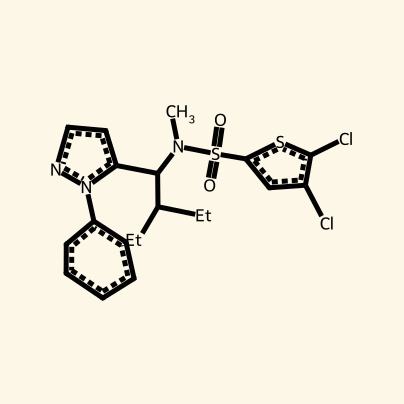 CCC(CC)C(c1ccnn1-c1ccccc1)N(C)S(=O)(=O)c1cc(Cl)c(Cl)s1